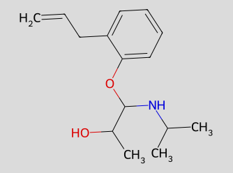 C=CCc1ccccc1OC(NC(C)C)C(C)O